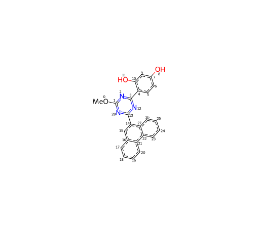 COc1nc(-c2ccc(O)cc2O)nc(-c2cc3ccccc3c3ccccc23)n1